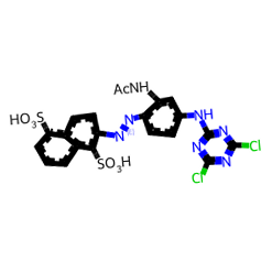 CC(=O)Nc1cc(Nc2nc(Cl)nc(Cl)n2)ccc1/N=N/c1ccc2c(S(=O)(=O)O)cccc2c1S(=O)(=O)O